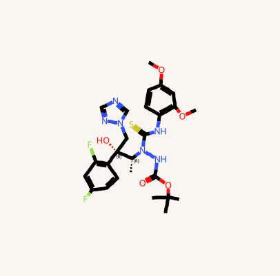 COc1ccc(NC(=S)N(NC(=O)OC(C)(C)C)[C@H](C)[C@](O)(Cn2cncn2)c2ccc(F)cc2F)c(OC)c1